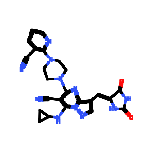 N#Cc1cccnc1N1CCN(c2nc3c(/C=C4\NC(=O)NC4=O)cnn3c(NC3CC3)c2C#N)CC1